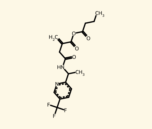 C=C(CC(=O)NC(C)c1ccc(C(F)(F)F)cn1)C(=O)OC(=O)CCC